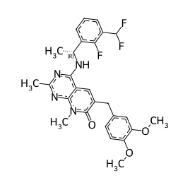 COc1ccc(Cc2cc3c(N[C@H](C)c4cccc(C(F)F)c4F)nc(C)nc3n(C)c2=O)cc1OC